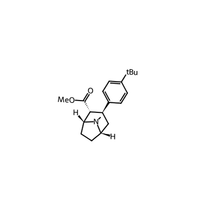 COC(=O)[C@@H]1[C@@H](c2ccc(C(C)(C)C)cc2)C[C@@H]2CC[C@H]1N2C